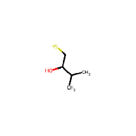 CC(C)C(O)CS